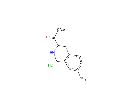 COC(=O)C1Cc2ccc([N+](=O)[O-])cc2CN1.Cl